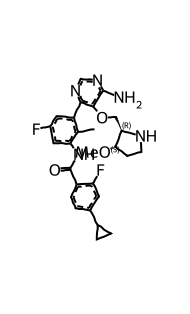 CO[C@H]1CCN[C@@H]1COc1c(N)ncnc1-c1cc(F)cc(NC(=O)c2ccc(C3CC3)cc2F)c1C